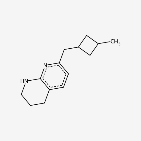 CC1CC(Cc2ccc3c(n2)NCCC3)C1